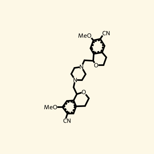 COc1cc2c(cc1C#N)CCOC2CN1CCN(CC2OCCc3cc(C#N)c(OC)cc32)CC1